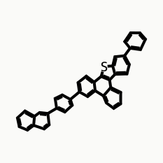 c1ccc(-c2ccc3c(c2)sc2c4ccc(-c5ccc(-c6ccc7ccccc7c6)cc5)cc4c4ccccc4c32)cc1